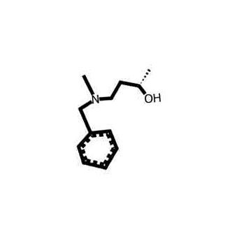 C[C@H](O)CCN(C)Cc1ccccc1